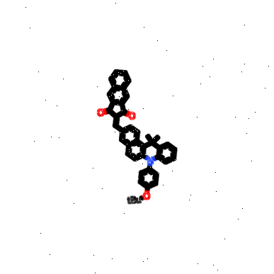 CC(C)(C)Oc1ccc(N2c3ccccc3C(C)(C)c3c2ccc2cc(C=C4C(=O)c5cc6ccccc6cc5C4=O)ccc32)cc1